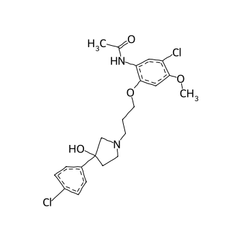 COc1cc(OCCCN2CCC(O)(c3ccc(Cl)cc3)C2)c(NC(C)=O)cc1Cl